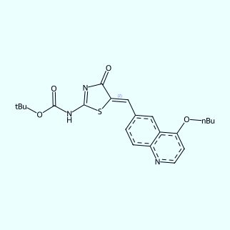 CCCCOc1ccnc2ccc(/C=C3\SC(NC(=O)OC(C)(C)C)=NC3=O)cc12